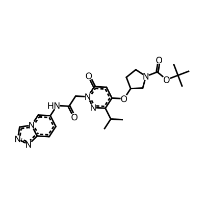 CC(C)c1nn(CC(=O)Nc2ccc3nncn3c2)c(=O)cc1OC1CCN(C(=O)OC(C)(C)C)C1